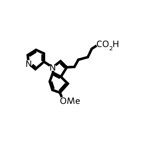 COc1ccc2c(c1)c(CCCCC(=O)O)cn2-c1cccnc1